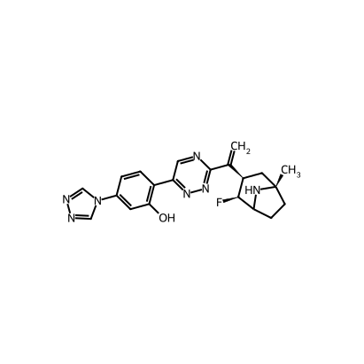 C=C(c1ncc(-c2ccc(-n3cnnc3)cc2O)nn1)[C@H]1C[C@]2(C)CCC(N2)[C@H]1F